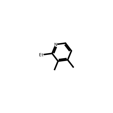 [CH2]Cc1nccc(C)c1C